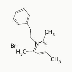 Cc1cc(C)[n+](CCc2ccccc2)c(C)c1.[Br-]